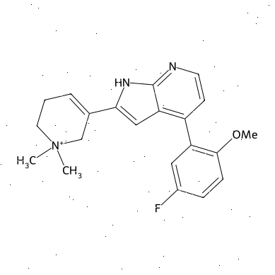 COc1ccc(F)cc1-c1ccnc2[nH]c(C3=CCC[N+](C)(C)C3)cc12